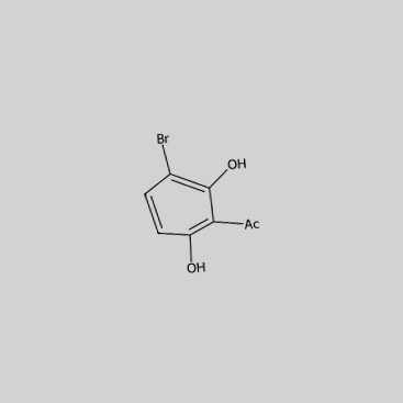 CC(=O)c1c(O)ccc(Br)c1O